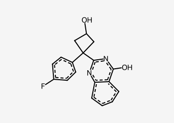 Oc1nc(C2(c3ccc(F)cc3)CC(O)C2)nc2ccccc12